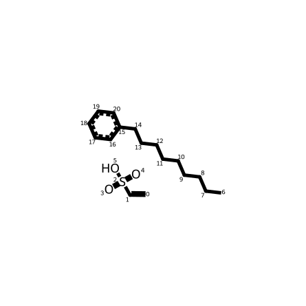 C=CS(=O)(=O)O.CCCCCCCCCc1ccccc1